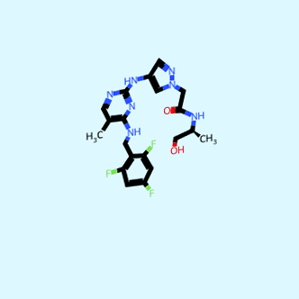 Cc1cnc(Nc2cnn(CC(=O)N[C@@H](C)CO)c2)nc1NCc1c(F)cc(F)cc1F